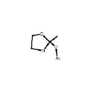 CC(=O)OC1(C)OCCO1